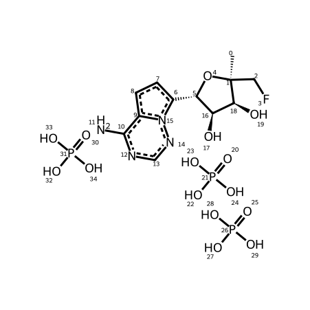 C[C@@]1(CF)O[C@@H](c2ccc3c(N)ncnn23)[C@H](O)[C@@H]1O.O=P(O)(O)O.O=P(O)(O)O.O=P(O)(O)O